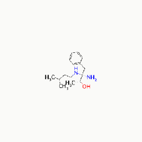 CC(C)CCN[C@@](N)(Cc1ccccc1)[C@@H](C)O